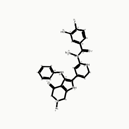 CC(=O)N1CC(=O)c2c([nH]c(C3=CCNC(N(N)C(=O)c4ccc(F)c(O)c4)=C3)c2Nc2ccccc2)C1